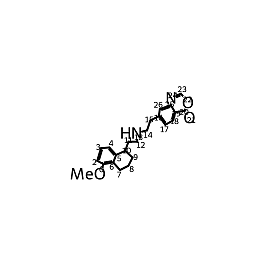 COc1cccc2c1CCCC2CCNCCc1ccc2c(=O)ocnc2c1